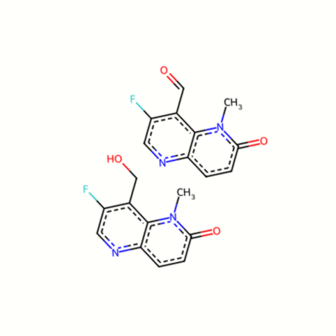 Cn1c(=O)ccc2ncc(F)c(C=O)c21.Cn1c(=O)ccc2ncc(F)c(CO)c21